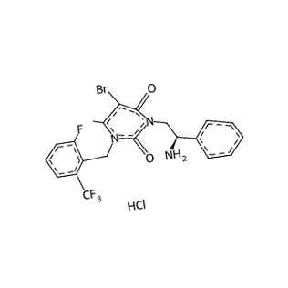 Cc1c(Br)c(=O)n(C[C@H](N)c2ccccc2)c(=O)n1Cc1c(F)cccc1C(F)(F)F.Cl